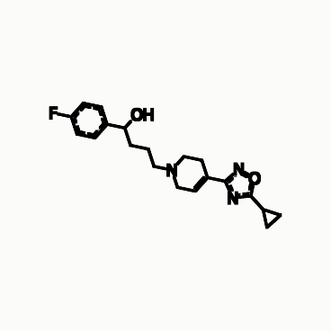 OC(CCCN1CC=C(c2noc(C3CC3)n2)CC1)c1ccc(F)cc1